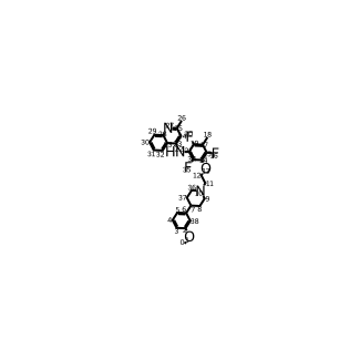 COc1cccc(C2CCN(CCOc3c(F)c(C)c(F)c(Nc4cc(C)nc5ccccc45)c3F)CC2)c1